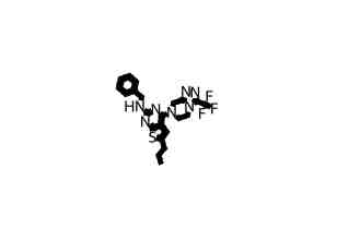 CCCc1cc2c(N3CCn4c(nnc4C(F)(F)F)C3)nc(NCc3ccccc3)nc2s1